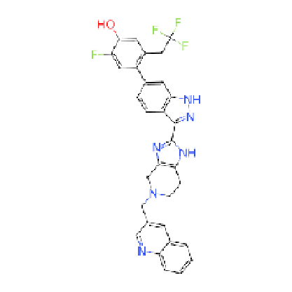 Oc1cc(CC(F)(F)F)c(-c2ccc3c(-c4nc5c([nH]4)CCN(Cc4cnc6ccccc6c4)C5)n[nH]c3c2)cc1F